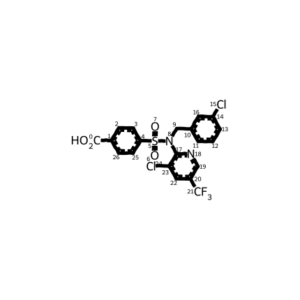 O=C(O)c1ccc(S(=O)(=O)N(Cc2cccc(Cl)c2)c2ncc(C(F)(F)F)cc2Cl)cc1